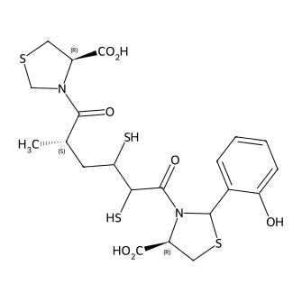 C[C@@H](CC(S)C(S)C(=O)N1C(c2ccccc2O)SC[C@H]1C(=O)O)C(=O)N1CSC[C@H]1C(=O)O